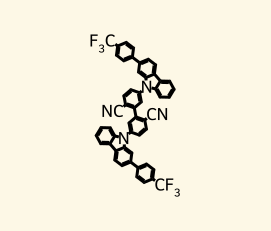 N#Cc1ccc(-n2c3ccccc3c3ccc(-c4ccc(C(F)(F)F)cc4)cc32)cc1-c1cc(-n2c3ccccc3c3ccc(-c4ccc(C(F)(F)F)cc4)cc32)ccc1C#N